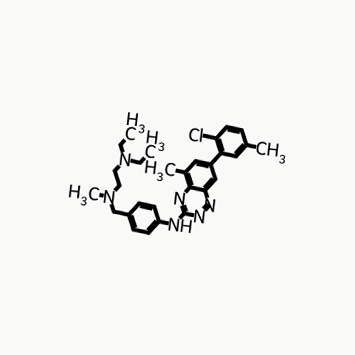 CCN(CC)CCN(C)Cc1ccc(Nc2nnc3cc(-c4cc(C)ccc4Cl)cc(C)c3n2)cc1